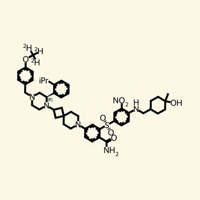 [2H]C([2H])([2H])Oc1ccc(CN2CCN(C3CC4(CCN(c5ccc(C(N)=O)c(S(=O)(=O)c6ccc(NCC7CCC(C)(O)CC7)c([N+](=O)[O-])c6)c5)CC4)C3)[C@H](c3ccccc3C(C)C)C2)cc1